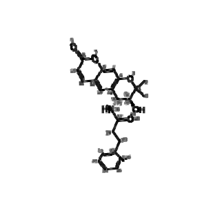 CC1(C)Oc2cc3oc(=O)ccc3cc2[C@@H](NC(=O)CCc2ccccn2)[C@@H]1O